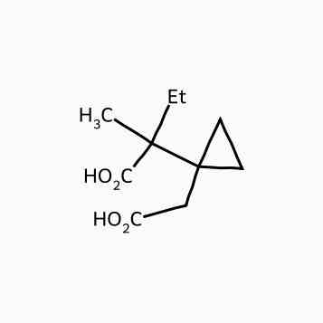 CCC(C)(C(=O)O)C1(CC(=O)O)CC1